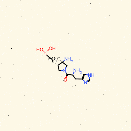 N[C@@H](Cc1c[nH]cn1)C(=O)N1C[C@H](CCCB(O)O)[C@](N)(C(=O)O)C1